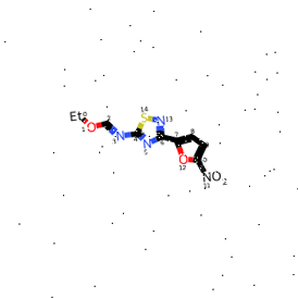 CCO/C=N/c1nc(-c2ccc([N+](=O)[O-])o2)ns1